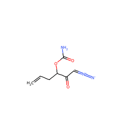 C=CCC(OC(N)=O)C(=O)C=[N+]=[N-]